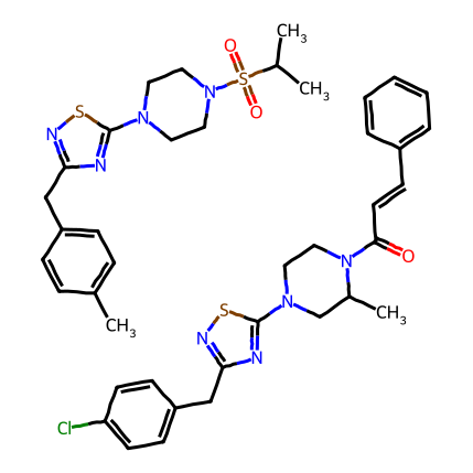 CC1CN(c2nc(Cc3ccc(Cl)cc3)ns2)CCN1C(=O)C=Cc1ccccc1.Cc1ccc(Cc2nsc(N3CCN(S(=O)(=O)C(C)C)CC3)n2)cc1